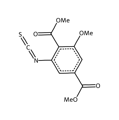 COC(=O)c1cc(N=C=S)c(C(=O)OC)c(OC)c1